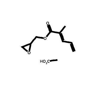 C=CC=C(C)C(=O)OCC1CO1.CC(=O)O